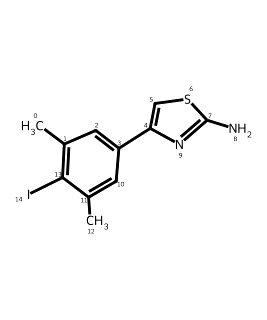 Cc1cc(-c2csc(N)n2)cc(C)c1I